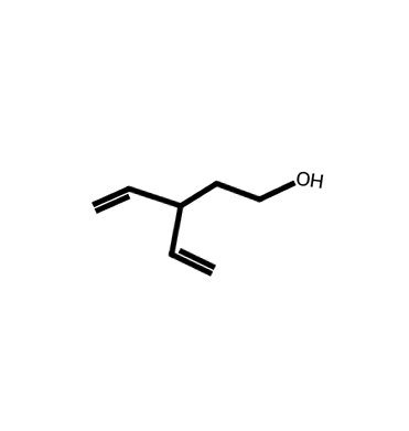 C=CC(C=C)CCO